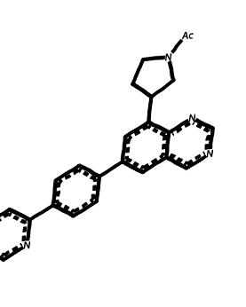 CC(=O)N1CCC(c2cc(-c3ccc(-c4ccccn4)cc3)cc3cncnc23)C1